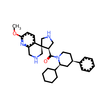 COc1ccc2c(n1)CNC[C@]21CNC[C@H]1C(=O)N1CC[C@@H](c2ccccc2)C[C@H]1C1CCCCC1